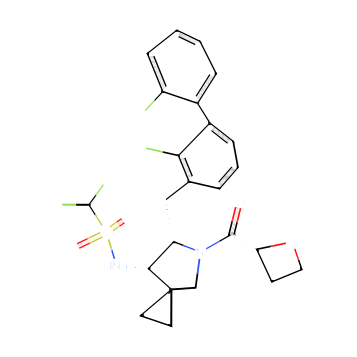 O=C([C@H]1CCO1)N1CC2(CC2)[C@H](NS(=O)(=O)C(F)F)[C@@H]1Cc1cccc(-c2ccccc2F)c1F